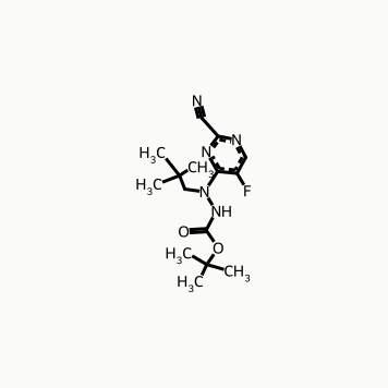 CC(C)(C)CN(NC(=O)OC(C)(C)C)c1nc(C#N)ncc1F